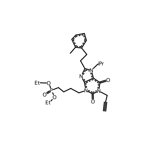 C#CCn1c(=O)c2c(nc(CCc3ccccc3C)n2C(C)C)n(CCCCP(=O)(OCC)OCC)c1=O